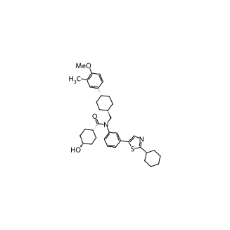 COc1ccc([C@H]2CC[C@H](CN(c3cccc(-c4cnc(C5CCCCC5)s4)c3)C(=O)[C@H]3CC[C@H](O)CC3)CC2)cc1C